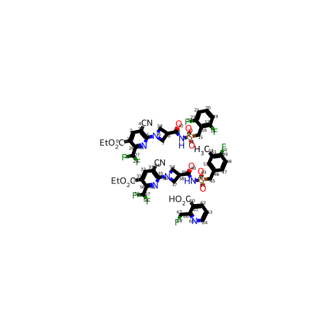 CCOC(=O)c1cc(C#N)c(N2CC(C(=O)NS(=O)(=O)Cc3c(F)cccc3F)C2)nc1C(F)F.CCOC(=O)c1cc(C#N)c(N2CC(C(=O)NS(=O)(=O)Cc3ccc(F)c(C)c3)C2)nc1C(F)F.O=C(O)c1cccnc1CF